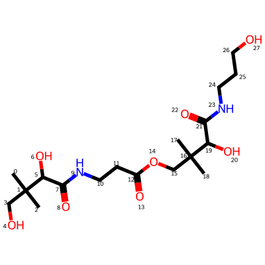 CC(C)(CO)C(O)C(=O)NCCC(=O)OCC(C)(C)C(O)C(=O)NCCCO